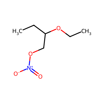 CCOC(CC)CO[N+](=O)[O-]